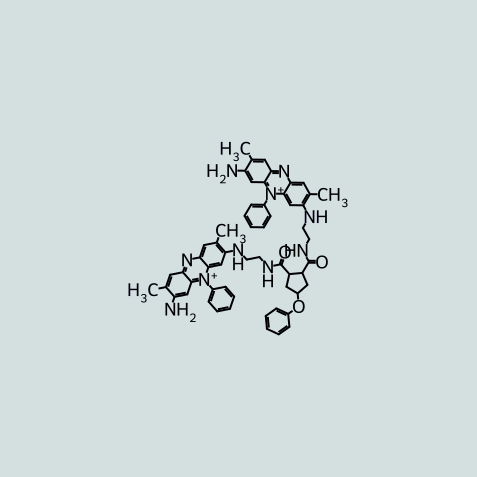 Cc1cc2nc3cc(C)c(NCCNC(=O)C4CC(Oc5ccccc5)CC4C(=O)NCCNc4cc5c(cc4C)nc4cc(C)c(N)cc4[n+]5-c4ccccc4)cc3[n+](-c3ccccc3)c2cc1N